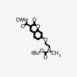 COC(=O)c1cc2ccc(OCCN(C)C(=O)OC(C)(C)C)cc2oc1=O